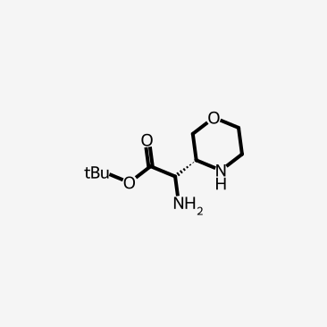 CC(C)(C)OC(=O)C(N)[C@@H]1COCCN1